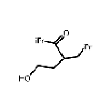 CC(C)CC(CCO)C(=O)C(C)C